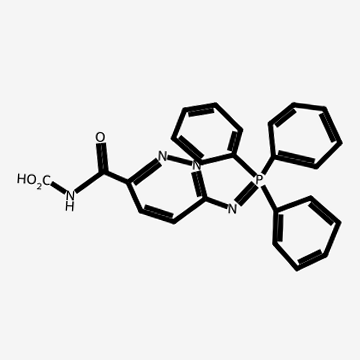 O=C(O)NC(=O)c1ccc(N=P(c2ccccc2)(c2ccccc2)c2ccccc2)nn1